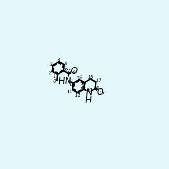 Cc1ccccc1C(=O)Nc1ccc2c(c1)CCC(=O)N2